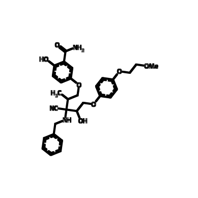 COCCOc1ccc(OCC(O)C(C#N)(NCc2ccccc2)C(C)COc2ccc(O)c(C(N)=O)c2)cc1